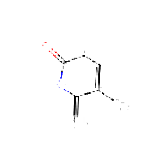 C=C1NC(=O)CC=C1C